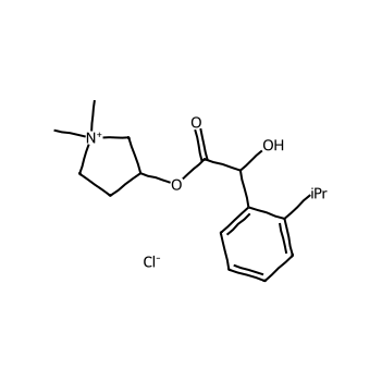 CC(C)c1ccccc1C(O)C(=O)OC1CC[N+](C)(C)C1.[Cl-]